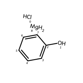 Cl.Oc1ccccc1.[MgH2]